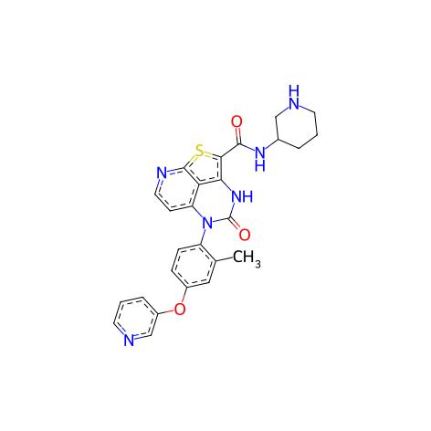 Cc1cc(Oc2cccnc2)ccc1N1C(=O)Nc2c(C(=O)NC3CCCNC3)sc3nccc1c23